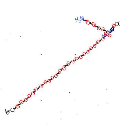 COCCOCCOCCOCCOCCOCCOCCOCCOCCOCCOCCOCCOCCOCCOCCOCCOCCOCCOCCOCCOCCOCCOCCOCCNC(=O)C(Cc1ccc(OCC(=O)O)cc1)NC(=O)CCOCCOCCOCCOCCN